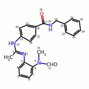 C/C(=N\c1ccccc1N(C)C=O)Nc1ccc(C(=O)NCc2ccccc2)cc1